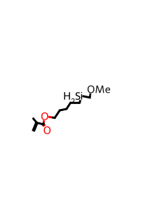 C=C(C)C(=O)OCCCCC[SiH2]COC